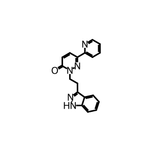 O=c1ccc(-c2ccccn2)nn1CCc1n[nH]c2ccccc12